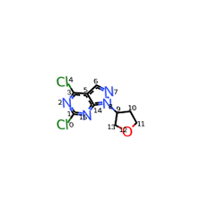 Clc1nc(Cl)c2cnn(C3CCOC3)c2n1